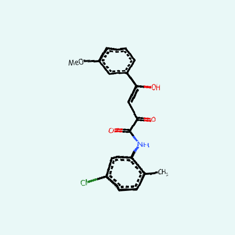 COc1cccc(C(O)=CC(=O)C(=O)Nc2cc(Cl)ccc2C)c1